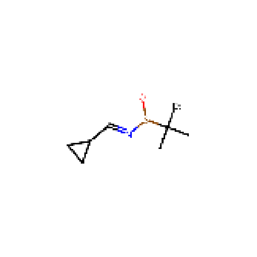 CCC(C)(C)[S+]([O-])/N=C/C1CC1